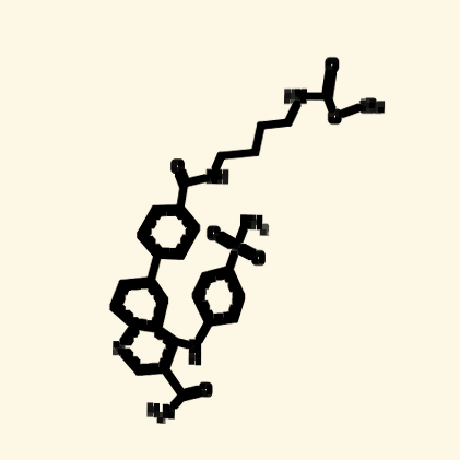 CC(C)(C)OC(=O)NCCCCNC(=O)c1ccc(-c2ccc3ncc(C(N)=O)c(Nc4ccc(S(N)(=O)=O)cc4)c3c2)cc1